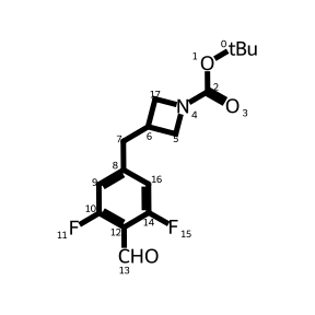 CC(C)(C)OC(=O)N1CC(Cc2cc(F)c(C=O)c(F)c2)C1